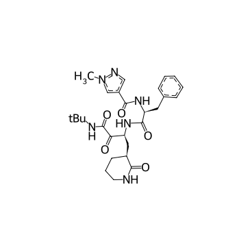 Cn1cc(C(=O)N[C@@H](Cc2ccccc2)C(=O)N[C@@H](C[C@@H]2CCCNC2=O)C(=O)C(=O)NC(C)(C)C)cn1